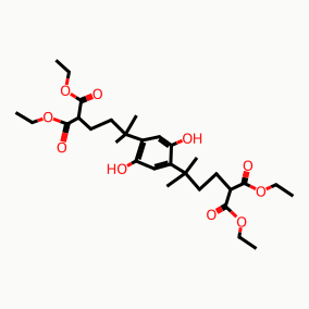 CCOC(=O)C(CCC(C)(C)c1cc(O)c(C(C)(C)CCC(C(=O)OCC)C(=O)OCC)cc1O)C(=O)OCC